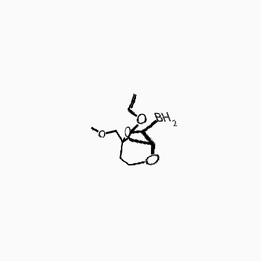 BC1OC2(COC)CCOC1C2OC=C